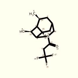 C[C@H]1CC2C[C@H]3C1[C@H](O)C3N(C(=O)CC(F)(F)F)C2